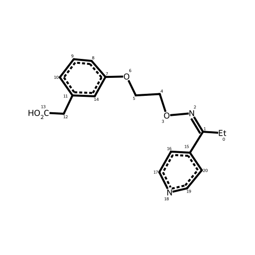 CCC(=NOCCOc1cccc(CC(=O)O)c1)c1ccncc1